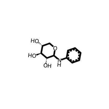 O[C@H]1[C@H](O)COC(Nc2ccccc2)[C@@H]1O